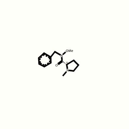 CON(Cc1ccccc1)C(=O)[C@@H]1CCCN1C